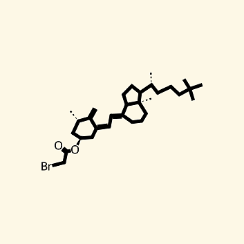 C=C1/C(=C\C=C2/CCC[C@@]3(C)C2CCC3[C@H](C)CCCC(C)(C)C)C[C@@H](OC(=O)CBr)C[C@@H]1C